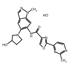 Cc1nccc(-c2nc(C(=O)Nc3cc4c(cnn4C)cc3N3CCC(O)C3)co2)n1.Cl